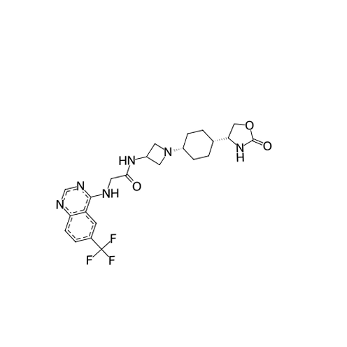 O=C(CNc1ncnc2ccc(C(F)(F)F)cc12)NC1CN([C@H]2CC[C@@H](C3COC(=O)N3)CC2)C1